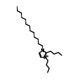 CCCCCCCCCCCCCn1cc[n+](CCCC)c1CCCC